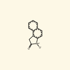 O=C1Cc2c(ccc3ccccc23)[NH+]1[O-]